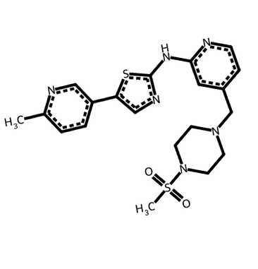 Cc1ccc(-c2cnc(Nc3cc(CN4CCN(S(C)(=O)=O)CC4)ccn3)s2)cn1